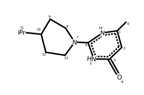 Cc1cc(=O)[nH]c(N2CCC(C(C)C)CC2)n1